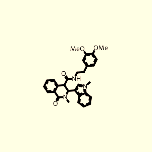 COc1ccc(CCNC(=O)C2c3ccccc3C(=O)N(C)C2c2cn(C)c3ccccc23)cc1OC